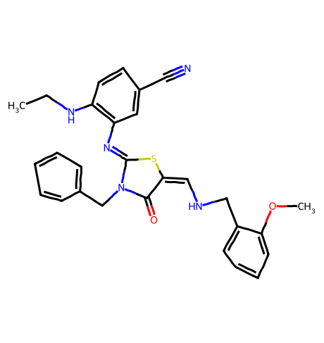 CCNc1ccc(C#N)cc1N=C1SC(=CNCc2ccccc2OC)C(=O)N1Cc1ccccc1